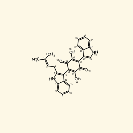 CC(C)=CCc1[nH]c2ccccc2c1C1=C(O)C(=O)C(c2c[nH]c3ccccc23)=C(O)C1=O